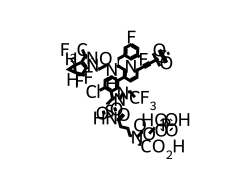 CC(C)(C#Cc1ccc(-c2ccc(Cl)c3c(CS(=O)(=O)NC(=O)CCCN(CC(=O)O)C(=O)OCOP(=O)(O)O)nn(CC(F)(F)F)c23)c([C@H](Cc2cc(F)cc(F)c2)NC(=O)Cn2nc(C(F)(F)F)c3c2C(F)(F)[C@@H]2C[C@H]32)n1)S(C)(=O)=O